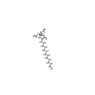 C=CC[N+](CC=C)(CC=C)CCCCCCCCCCCCCCCC